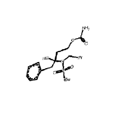 CC(C)CN(C(O)(CCOC(N)=O)Cc1ccccc1)S(=O)(=O)C(C)(C)C